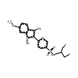 CC(C)n1c(-c2ccc(S(=O)(=O)NC(CF)CF)cn2)c(C#N)c2ccc(OC(F)(F)F)cc21